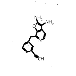 C#Cc1cccc(Cc2nccc3c(N)c(N)oc23)c1